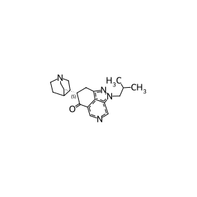 CC(C)Cn1nc2c3c(cncc31)C(=O)[C@H](C1CN3CCC1CC3)C2